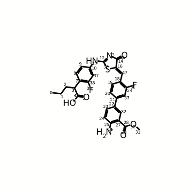 CCCC(C(=O)O)c1ccc(NC2=NC(=O)C(=Cc3ccc(-c4ccc(N)c(C(=O)OC)c4)cc3F)S2)cc1F